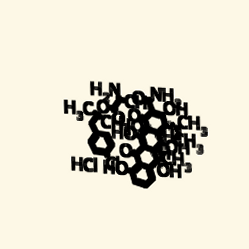 CC(N)C(=O)OC(C)(C)Cc1ccc(Cl)cc1.CN(C)[C@@H]1C(O)=C(C(N)=O)C(=O)[C@@]2(O)C(O)=C3C(=O)c4c(O)cccc4[C@@](C)(O)[C@H]3[C@H](O)[C@@H]12.Cl